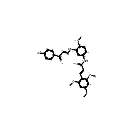 COc1cc(OC)c(C=CC(=O)Nc2ccc(OC)c(NC=CC(=O)c3ccc(Br)cc3)c2)c(OC)c1